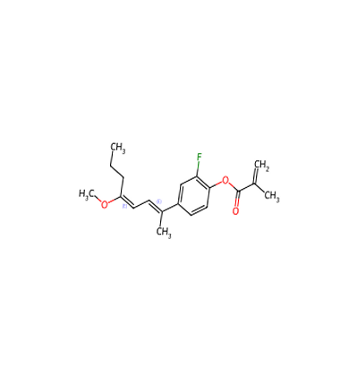 C=C(C)C(=O)Oc1ccc(/C(C)=C/C=C(\CCC)OC)cc1F